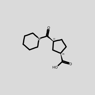 O=C(O)[C@@H]1CC[C@H](C(=O)N2CCCCC2)C1